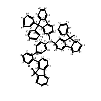 CC1(C)c2ccccc2-c2cccc(-c3ccccc3-c3ccc(N(c4ccc5c(c4)C(C)(c4ccccc4)c4ccccc4-5)c4ccc5c(c4)C(c4ccccc4)(c4ccccc4)c4ccccc4-5)cc3)c21